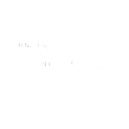 CC1(Cc2ccccc2)Nc2cc(CCCSCCCCc3ccccc3)cc(O)c2C2CC(N)CCC21